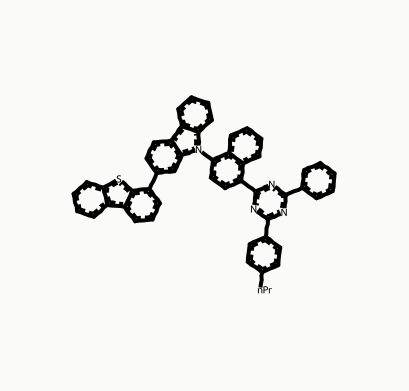 CCCc1ccc(-c2nc(-c3ccccc3)nc(-c3ccc(-n4c5ccccc5c5ccc(-c6cccc7c6sc6ccccc67)cc54)c4ccccc34)n2)cc1